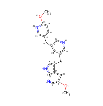 COc1cnc2[nH]cc(Cc3cn[c]c(Cc4ccc(OC)nc4)c3)c2c1